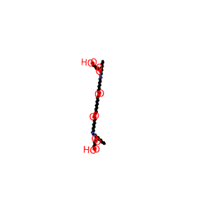 CCCCCCC(C/C=C\CCCCCCCC(=O)OCCCCCCCCCCOC(=O)CCCCCCC/C=C/CC(CCCCCC)OC(=O)CCCC(=O)O)OC(=O)CCCC(=O)O